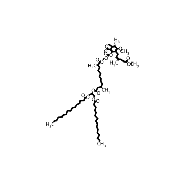 CCCCCCCCCCCCCCCC(=O)OCC(COC(=O)CCCCCCCCCCCCCCC)OC(=O)CC(C)CCCCCCCC(C)C(=O)OCOC(=O)Oc1c(CC=C(C)CCC(=O)OC)c(OC)c(C)c2c1C(=O)OC2